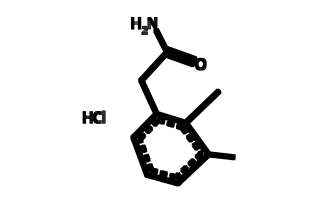 Cc1cccc(CC(N)=O)c1C.Cl